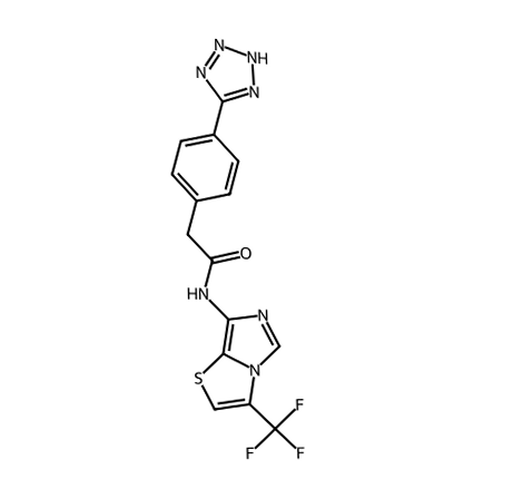 O=C(Cc1ccc(-c2nn[nH]n2)cc1)Nc1ncn2c(C(F)(F)F)csc12